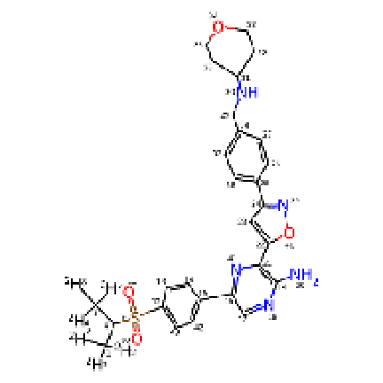 [2H]C([2H])([2H])C(C([2H])([2H])[2H])S(=O)(=O)c1ccc(-c2cnc(N)c(-c3cc(-c4ccc(CNC5CCOCC5)cc4)no3)n2)cc1